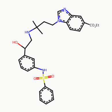 CCOC(=O)c1ccc2c(c1)ncn2CCC(C)(C)NCC(O)c1cccc(NS(=O)(=O)c2ccccc2)c1